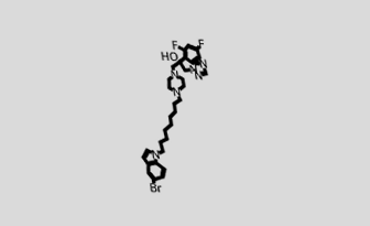 OC(CN1CCN(CCCCCCCCCn2ccc3cc(Br)ccc32)CC1)(Cn1cncn1)c1ccc(F)cc1F